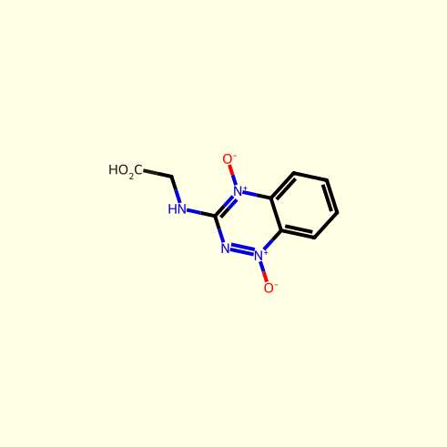 O=C(O)CNc1n[n+]([O-])c2ccccc2[n+]1[O-]